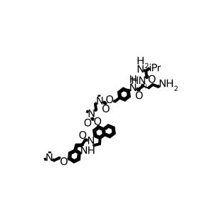 CC(C)C(N)C(=O)N[C@@H](CCCN)C(=O)Nc1ccc(COC(=O)N(C)CCN(C)C(=O)Oc2cc3c(c4ccccc24)CCN3C(=O)c2cc3cc(OCCN(C)C)ccc3[nH]2)cc1